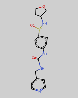 O=C(NCc1ccncc1)Nc1ccc([S+]([O-])NC2CCOC2)cc1